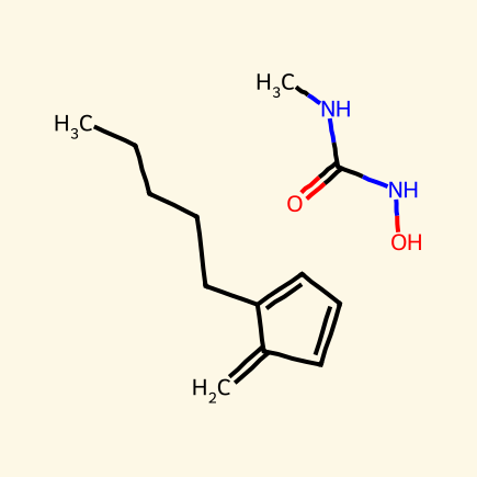 C=C1C=CC=C1CCCCC.CNC(=O)NO